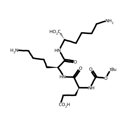 CC(C)(C)OC(=O)N[C@@H](CCC(=O)O)C(=O)N[C@@H](CCCCN)C(=O)N[C@@H](CCCCN)C(=O)O